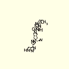 COc1nsc(NC(=O)N2CC3CC(CC#N)(n4cc(-c5ncnc6[nH]ccc56)cn4)CC3C2)n1